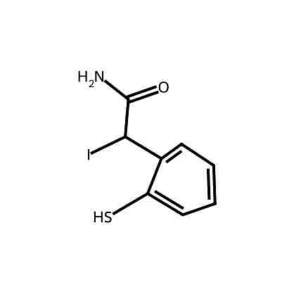 NC(=O)C(I)c1ccccc1S